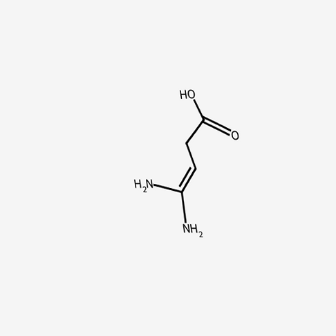 NC(N)=CCC(=O)O